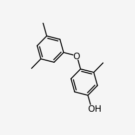 Cc1cc(C)cc(Oc2ccc(O)cc2C)c1